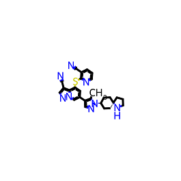 Cc1c(-c2cc(Sc3ncccc3C#N)c3c(C#N)cnn3c2)cnn1[C@H]1CC[C@@]2(CCCN2)CC1